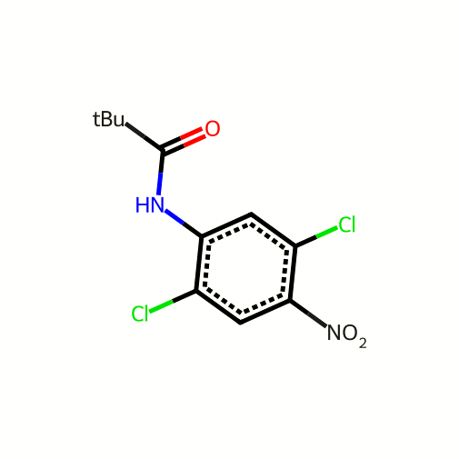 CC(C)(C)C(=O)Nc1cc(Cl)c([N+](=O)[O-])cc1Cl